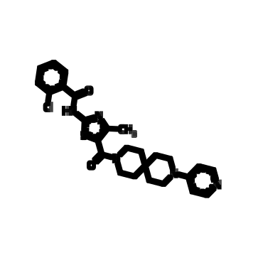 Cc1nc(NC(=O)c2ccccc2Cl)sc1C(=O)N1CCC2(CC1)CCN(c1ccncc1)CC2